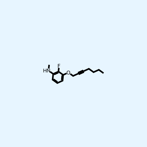 CCCCC#CCOc1cccc(NC)c1F